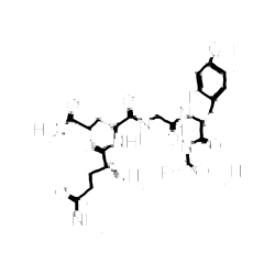 CC(C)[C@H](NC(=O)[C@H](Cc1ccc(O)cc1)NC(=O)CNC(=O)[C@H](CCC(N)=O)NC(=O)[C@@H](N)CCC(N)=O)C(=O)O